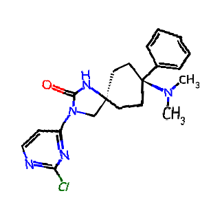 CN(C)[C@]1(c2ccccc2)CC[C@]2(CC1)CN(c1ccnc(Cl)n1)C(=O)N2